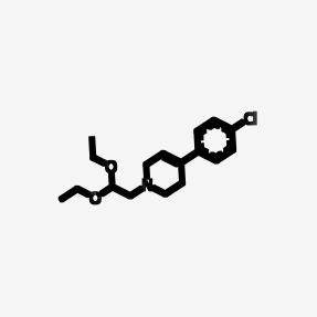 CCOC(CN1CC=C(c2ccc(Cl)cc2)CC1)OCC